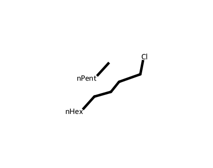 CCCCCC.CCCCCCCCCCCl